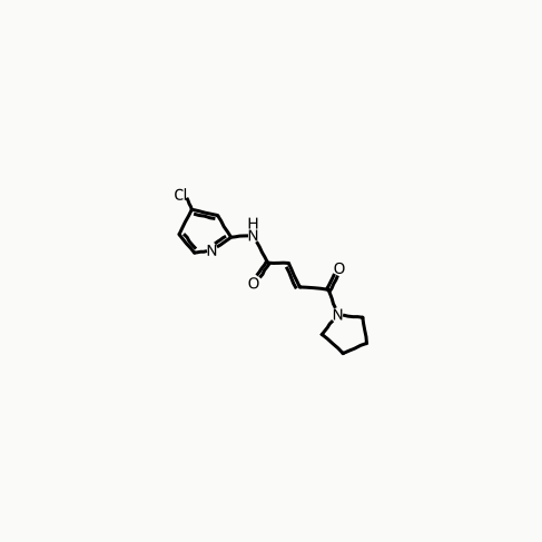 O=C(C=CC(=O)N1CCCC1)Nc1cc(Cl)ccn1